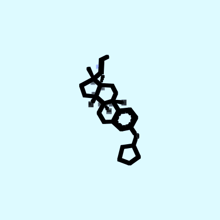 C/C=C/[C@@]1(C)CC[C@H]2[C@@H]3CCc4cc(OC5CCCC5)ccc4[C@H]3CC[C@@]21C